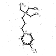 CC[N+](CC)(CC)CCC[n+]1ccc(C)cc1